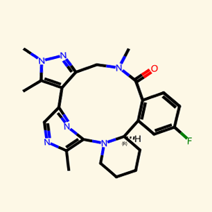 Cc1ncc2nc1N1CCCC[C@@H]1c1cc(F)ccc1C(=O)N(C)Cc1nn(C)c(C)c1-2